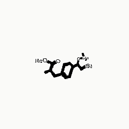 COC(=O)C(C)Cc1ccc(C(CC(C)(C)C)O[SiH](C)C)cc1